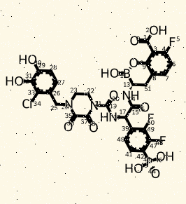 O=C(O)c1c(F)ccc2c1OB(O)[C@@H](NC(=O)C(NC(=O)N1CCN(Cc3ccc(O)c(O)c3Cl)C(=O)C1=O)c1ccc(P(=O)(O)O)c(F)c1F)C2